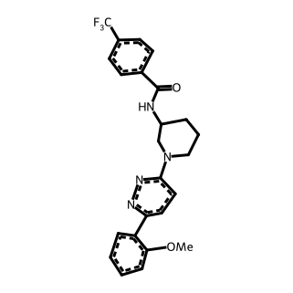 COc1ccccc1-c1ccc(N2CCCC(NC(=O)c3ccc(C(F)(F)F)cc3)C2)nn1